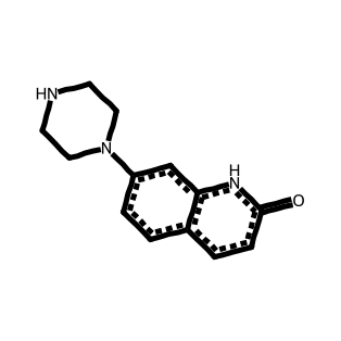 O=c1ccc2ccc(N3CCNCC3)cc2[nH]1